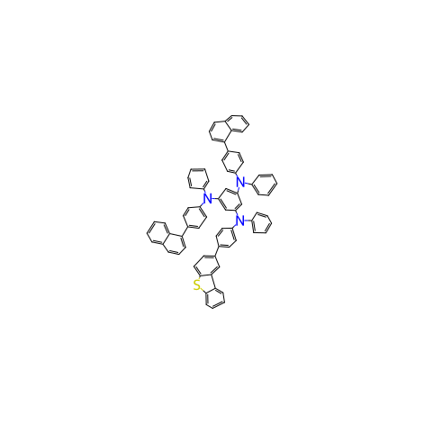 c1ccc(N(c2ccc(-c3ccc4sc5ccccc5c4c3)cc2)c2cc(N(c3ccccc3)c3ccc(-c4cccc5ccccc45)cc3)cc(N(c3ccccc3)c3ccc(-c4cccc5ccccc45)cc3)c2)cc1